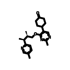 Cc1ccc([C@@H](C)[C@H](C)COc2nc(C)ncc2C2CCC(=O)CC2)nc1